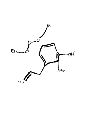 C=CCc1cccc(O)c1CCCCCCCCC.CCOOOCC